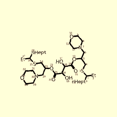 CCCCCCCC(CC)SCC(CN1CCOCC1)OC(=O)C(O)C(O)C(=O)OC(CSC(CC)CCCCCCC)CN1CCOCC1